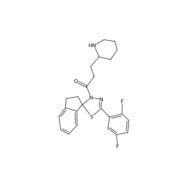 O=C(CCC1CCCCN1)N1N=C(c2cc(F)ccc2F)SC12CCc1ccccc12